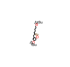 CC(C)(C)[Si](C)(C)OCCCCC=C(Br)CC1=CC(O[Si](C)(C)C(C)(C)C)CC1=O